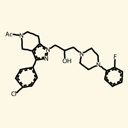 CC(=O)N1CCc2c(c(-c3ccc(Cl)cc3)nn2CC(O)CN2CCN(c3ccccc3F)CC2)C1